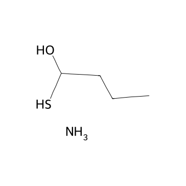 CCCC(O)S.N